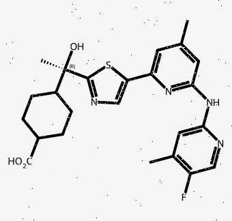 Cc1cc(Nc2cc(C)c(F)cn2)nc(-c2cnc([C@](C)(O)C3CCC(C(=O)O)CC3)s2)c1